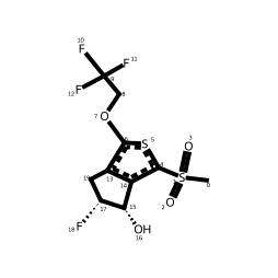 CS(=O)(=O)c1sc(OCC(F)(F)F)c2c1[C@H](O)[C@H](F)C2